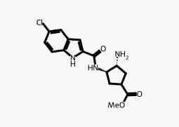 COC(=O)C1C[C@@H](N)[C@H](NC(=O)c2cc3cc(Cl)ccc3[nH]2)C1